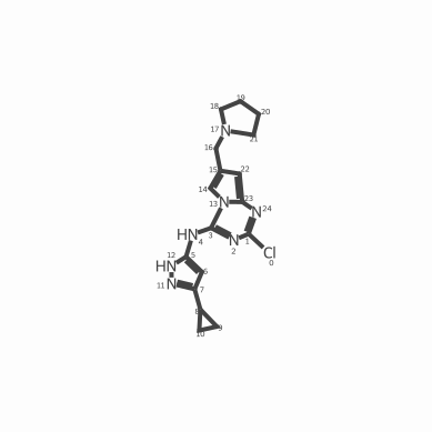 Clc1nc(Nc2cc(C3CC3)n[nH]2)n2cc(CN3CCCC3)cc2n1